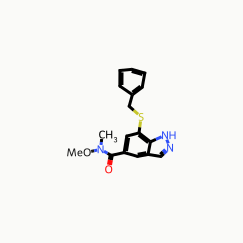 CON(C)C(=O)c1cc(SCc2ccccc2)c2[nH]ncc2c1